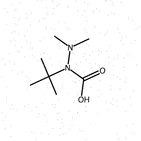 CN(C)N(C(=O)O)C(C)(C)C